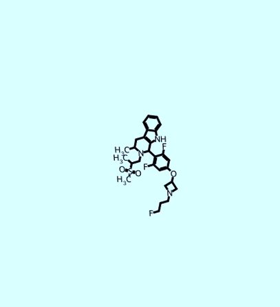 CC1Cc2c([nH]c3ccccc23)C(c2c(F)cc(OC3CN(CCCF)C3)cc2F)N1CC(C)S(C)(=O)=O